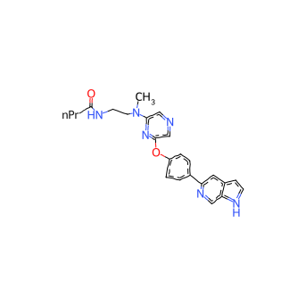 CCCC(=O)NCCN(C)c1cncc(Oc2ccc(-c3cc4cc[nH]c4cn3)cc2)n1